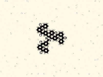 O=c1c2ccccc2n2c3ccc(-c4nc(-c5ccc6c(c5)c(=O)c5cccc7c(=O)c8ccccc8n6c75)c(-c5ccccc5)c(-c5ccc6c(c5)c(=O)c5cccc7c(=O)c8ccccc8n6c75)n4)cc3c(=O)c3cccc1c32